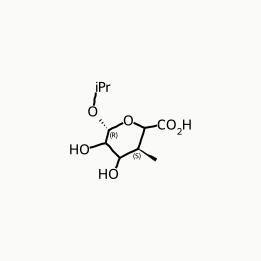 CC(C)O[C@@H]1OC(C(=O)O)[C@@H](C)C(O)C1O